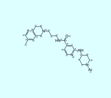 CC(=O)N1CCC(Nc2cc(C(=O)NCCCN3CCc4ccc(C)cc4C3)ccn2)CC1